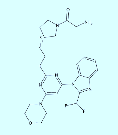 NCC(=O)N1CC[C@@H](CCCc2nc(N3CCOCC3)cc(-n3c(C(F)F)nc4ccccc43)n2)C1